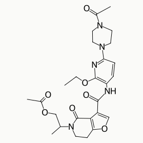 CCOc1nc(N2CCN(C(C)=O)CC2)ccc1NC(=O)c1coc2c1C(=O)N(C(C)COC(C)=O)CC2